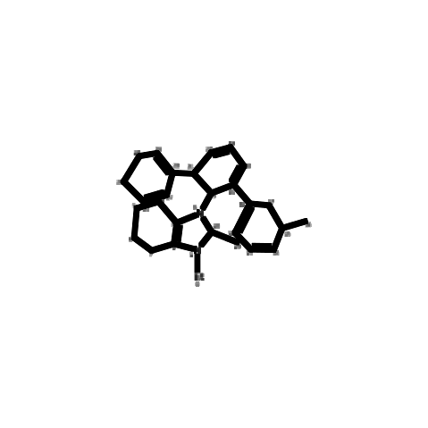 CCN1C2=C(CCCC2)N(C2C(C3=CC=CC(C)C3)=CC=CC2C2=CCCC=C2)C1C